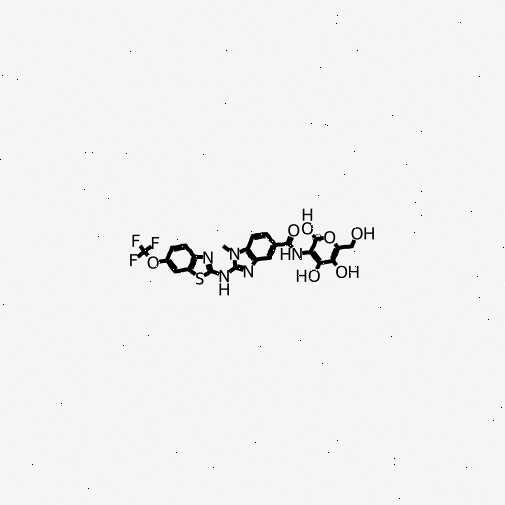 Cn1c(Nc2nc3ccc(OC(F)(F)F)cc3s2)nc2cc(C(=O)NC3=C(O)C(O)=C(CO)O[C@@H]3O)ccc21